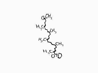 CC(=O)CCC=C(C)CCC=C(C)CCC=C(C)CCC=C(C)CCC=C(C)C(=O)N1CCCCC1